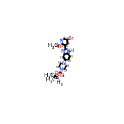 COc1ncc(Br)cc1-c1nc2cc(N3CCN(C(=O)OC(C)(C)C)CC3)ccc2[nH]1